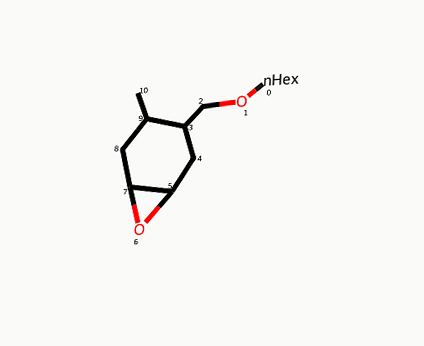 CCCCCCOCC1CC2OC2CC1C